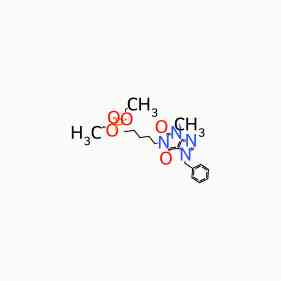 CCOP(=O)(CCCCCn1c(=O)c2c(ncn2Cc2ccccc2)n(C)c1=O)OCC